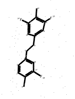 Cc1ccc(CCc2cc(F)c(C)c(F)c2)cc1F